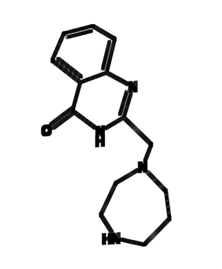 O=c1[nH]c(CN2CCCNCC2)nc2ccccc12